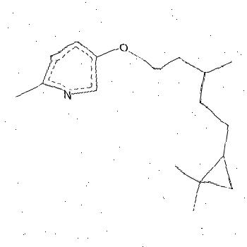 Cc1ccc(OCCC(C)CCC2CC2(C)C)cn1